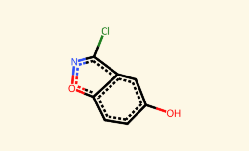 Oc1ccc2onc(Cl)c2c1